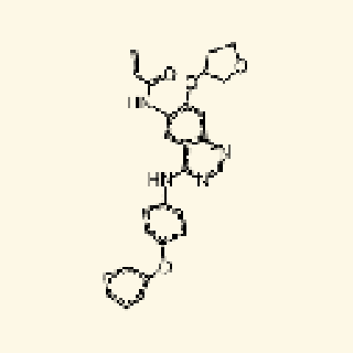 C=CC(=O)Nc1cc2c(Nc3ccc(Oc4ccccc4)cc3)ncnc2cc1OC1CCOC1